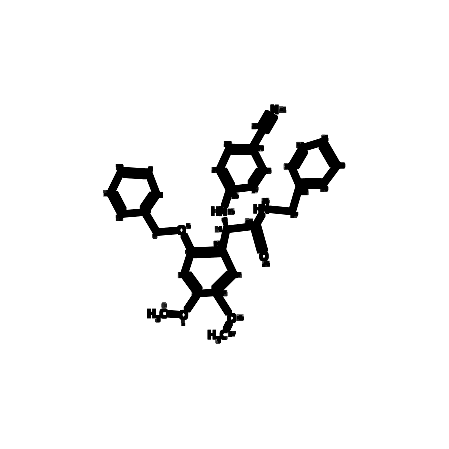 COc1cc(OCc2ccccc2)c([C@H](Nc2ccc(C#N)cc2)C(=O)NCc2ccccc2)cc1OC